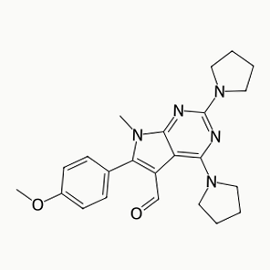 COc1ccc(-c2c(C=O)c3c(N4CCCC4)nc(N4CCCC4)nc3n2C)cc1